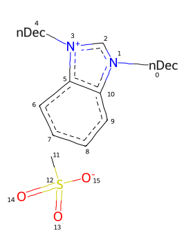 CCCCCCCCCCn1c[n+](CCCCCCCCCC)c2ccccc21.CS(=O)(=O)[O-]